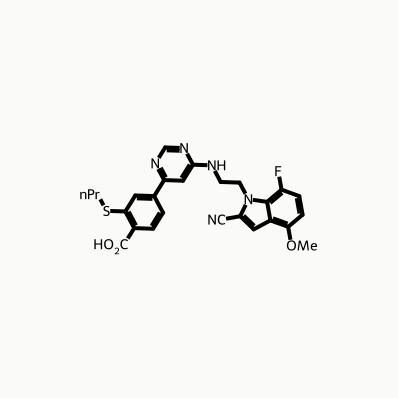 CCCSc1cc(-c2cc(NCCn3c(C#N)cc4c(OC)ccc(F)c43)ncn2)ccc1C(=O)O